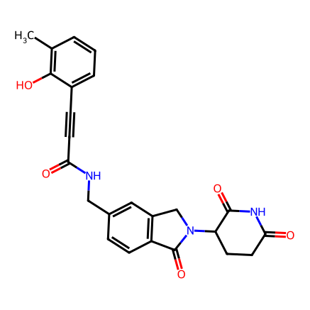 Cc1cccc(C#CC(=O)NCc2ccc3c(c2)CN(C2CCC(=O)NC2=O)C3=O)c1O